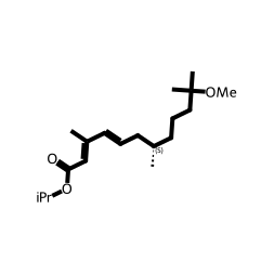 COC(C)(C)CCC[C@H](C)CC=CC(C)=CC(=O)OC(C)C